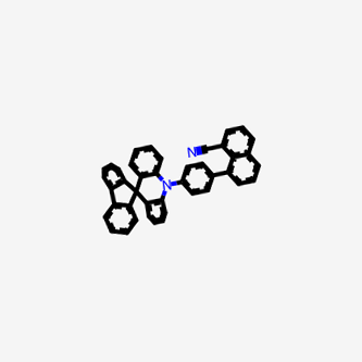 N#Cc1cccc2cccc(-c3ccc(N4c5ccccc5C5(c6ccccc6-c6ccccc65)c5ccccc54)cc3)c12